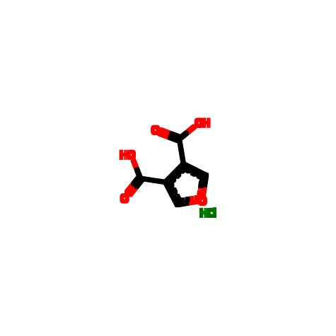 Cl.O=C(O)c1cocc1C(=O)O